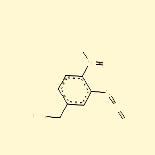 NCc1ccc([N+](=O)[O-])c(N=C=O)c1